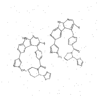 Cn1cc(-c2cc3c(cn2)[nH]c2ncc(F)c(-c4ccc(C(=O)N5CCCC5c5nccs5)cc4)c23)cn1.Cn1cc(-c2cc3c(cn2)[nH]c2ncc(F)c(-c4ccc(C(=O)N5CCCCC5c5nccs5)cc4)c23)cn1